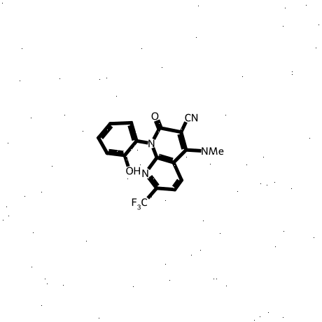 CNc1c(C#N)c(=O)n(-c2ccccc2O)c2nc(C(F)(F)F)ccc12